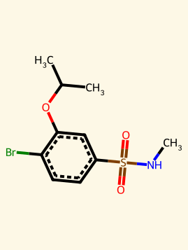 CNS(=O)(=O)c1ccc(Br)c(OC(C)C)c1